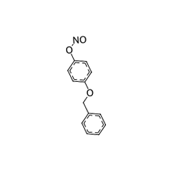 O=NOc1ccc(OCc2ccccc2)cc1